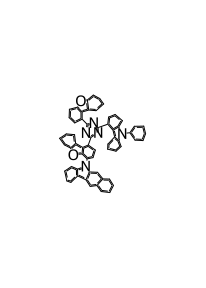 c1ccc(-n2c3ccccc3c3c(-c4nc(-c5cccc6oc7ccccc7c56)nc(-c5ccc(-n6c7ccccc7c7cc8ccccc8cc76)c6oc7ccccc7c56)n4)cccc32)cc1